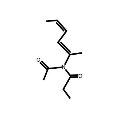 C/C=C\C=C(/C)N(C(C)=O)C(=O)CC